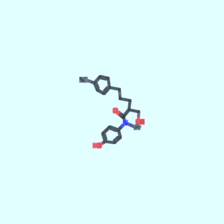 CC(C)N(C(=O)C(CO)CCCc1ccc(C#N)cc1)c1ccc(O)cc1